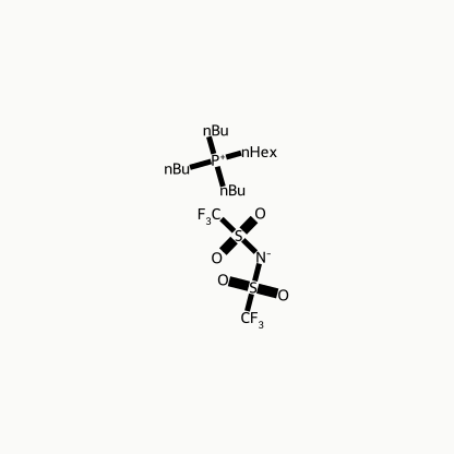 CCCCCC[P+](CCCC)(CCCC)CCCC.O=S(=O)([N-]S(=O)(=O)C(F)(F)F)C(F)(F)F